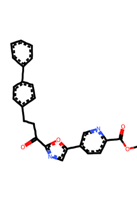 COC(=O)c1ccc(-c2cnc(C(=O)CCc3ccc(-c4ccccc4)cc3)o2)cn1